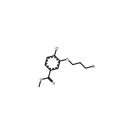 COC(=O)c1ccc(Cl)c(OCCCBr)c1